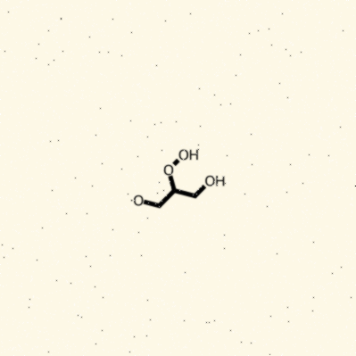 [O]CC(CO)OO